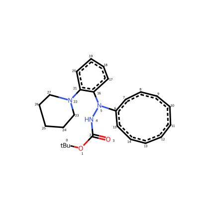 CC(C)(C)OC(=O)NN(c1ccccccccc1)c1ccccc1N1CCCCC1